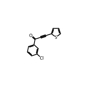 O=C(C#Cc1cccs1)c1cccc(Cl)c1